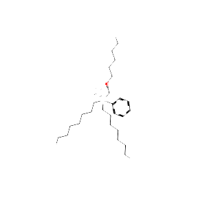 CCCCCCCCS(CCCCCCCC)(CCCCCCCC)(c1ccccc1)=P(O)(O)O